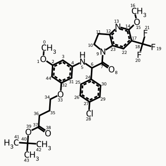 COc1cc(NC(C(=O)N2CCc3nc(OC)c(C(F)(F)F)cc32)c2ccc(Cl)cc2)cc(OCCCC(=O)OC(C)(C)C)c1